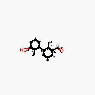 Cc1c(O)cccc1-c1cccc(C=O)c1C